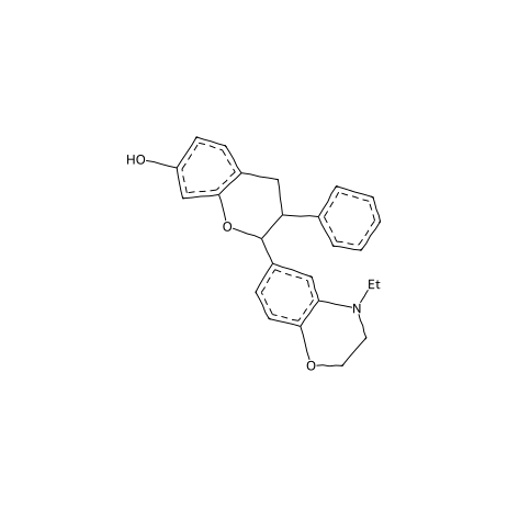 CCN1CCOc2ccc(C3Oc4cc(O)ccc4CC3c3ccccc3)cc21